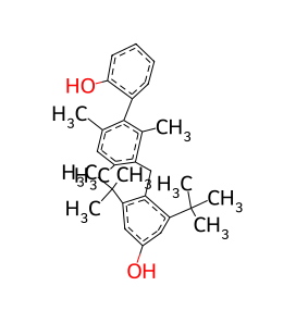 Cc1cc(C)c(-c2ccccc2O)c(C)c1Cc1c(C(C)(C)C)cc(O)cc1C(C)(C)C